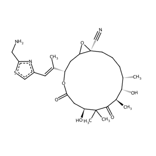 C/C(=C\c1csc(CN)n1)[C@@H]1CC2O[C@@]2(C#N)CCC[C@H](C)[C@H](O)[C@@H](C)C(=O)C(C)(C)[C@@H](O)CC(=O)O1